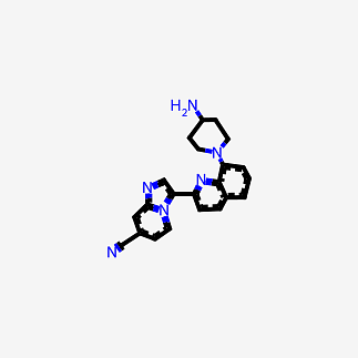 N#Cc1ccn2c(-c3ccc4cccc(N5CCC(N)CC5)c4n3)cnc2c1